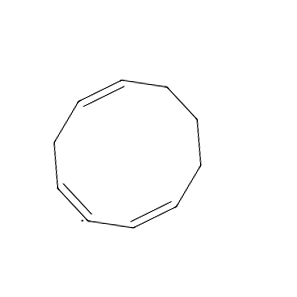 [C]1=CCC=CCCCC=C1